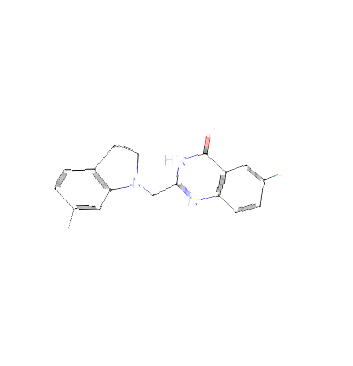 Cc1ccc2c(c1)N(Cc1nc3ccc(Cl)cc3c(=O)[nH]1)CC2